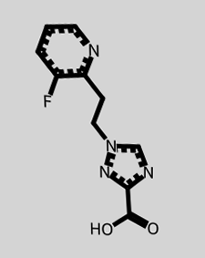 O=C(O)c1ncn(CCc2ncccc2F)n1